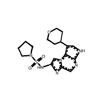 O=S(=O)(Nc1cn2c(cnc3[nH]cc(C4CCOCC4)c32)n1)N1CCCC1